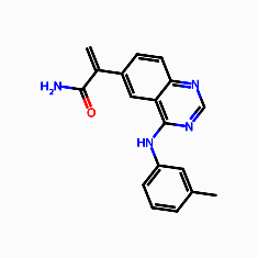 C=C(C(N)=O)c1ccc2ncnc(Nc3cccc(C)c3)c2c1